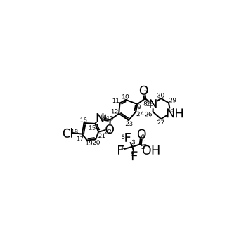 O=C(O)C(F)(F)F.O=C(c1ccc(-c2nc3cc(Cl)ccc3o2)cc1)N1CCNCC1